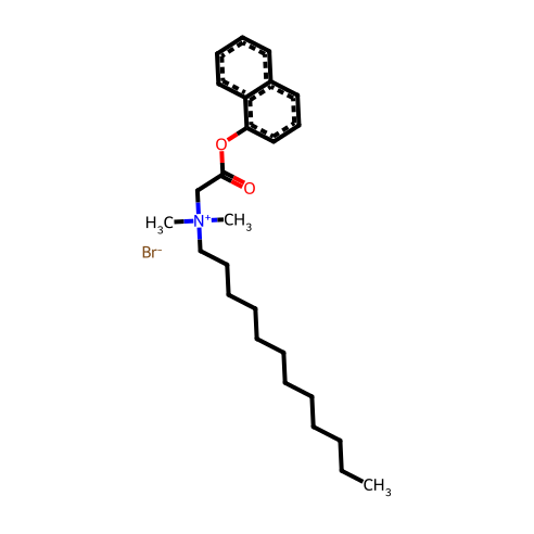 CCCCCCCCCCCC[N+](C)(C)CC(=O)Oc1cccc2ccccc12.[Br-]